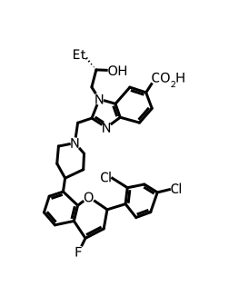 CC[C@H](O)Cn1c(CN2CCC(c3cccc4c3OC(c3ccc(Cl)cc3Cl)C=C4F)CC2)nc2ccc(C(=O)O)cc21